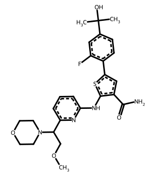 COCC(c1cccc(Nc2sc(-c3ccc(C(C)(C)O)cc3F)cc2C(N)=O)n1)N1CCOCC1